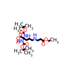 CCOC(=O)CCNCCCC(NC(=O)OC(C)(C)C)(NC(=O)OC(C)(C)C)C(=O)O